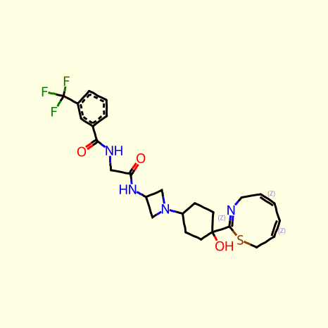 O=C(CNC(=O)c1cccc(C(F)(F)F)c1)NC1CN(C2CCC(O)(/C3=N/C/C=C\C=C/CS3)CC2)C1